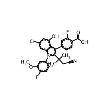 COc1cc(-n2c(C(C)(C)CC#N)c(-c3ccc(C(=O)O)c(F)c3)c3c(O)cc(Cl)cc32)ccc1F